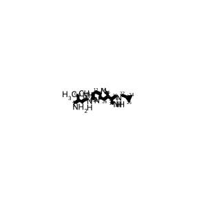 CC(C)C(=C/N)/C=C(\N)Nc1ccc2ncc(/C(C=N)=C/NCC3CC3)cc2n1